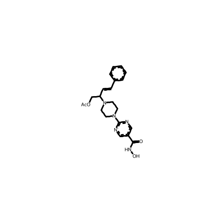 CC(=O)OCC(/C=C/c1ccccc1)N1CCN(c2ncc(C(=O)NO)cn2)CC1